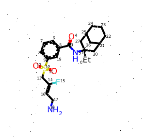 CCC1(NC(=O)c2cccc(S(=O)(=O)C/C(F)=C/CN)c2)CC2CCCC(C2)C1